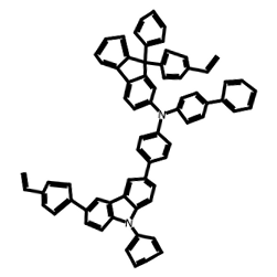 C=Cc1ccc(-c2ccc3c(c2)c2cc(-c4ccc(N(c5ccc(-c6ccccc6)cc5)c5ccc6c(c5)C(c5ccccc5)(c5ccc(C=C)cc5)c5ccccc5-6)cc4)ccc2n3-c2ccccc2)cc1